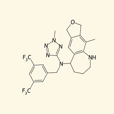 Cc1c2c(cc3c1NCCCC3N(Cc1cc(C(F)(F)F)cc(C(F)(F)F)c1)c1nnn(C)n1)COC2